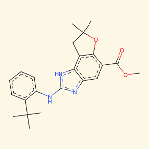 COC(=O)c1cc2nc(Nc3ccccc3C(C)(C)C)[nH]c2c2c1OC(C)(C)C2